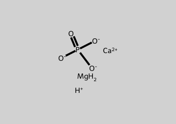 O=P([O-])([O-])[O-].[Ca+2].[H+].[MgH2]